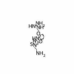 N=C(N)NCCOc1cccc2c1Nc1nc(=S)n(CCCN)cc1O2